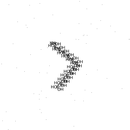 OB(O)O.OB(O)O.OB(O)O.OB(O)O.OB(O)O.OB(O)O.OB(O)O.OB(O)O.OB(O)O.OB(O)O.OB(O)O.OB(O)O.[KH].[KH]